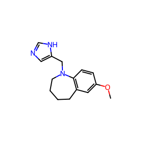 COc1ccc2c(c1)CCCCN2Cc1cnc[nH]1